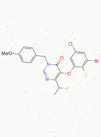 COc1ccc(Cn2cnc(C(C)F)c(Oc3cc(Cl)cc(Br)c3F)c2=O)cc1